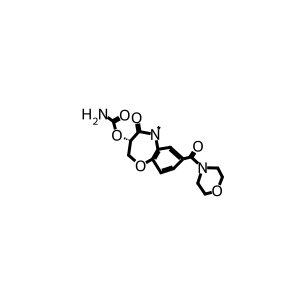 CN1C(=O)[C@@H](OC(N)=O)COc2ccc(C(=O)N3CCOCC3)cc21